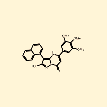 COc1cc(-c2cc(=O)n3nc(C)c(-c4cccc5ccccc45)c3[nH]2)cc(OC)c1OC